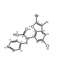 Cc1c(Br)oc2c(N(Cc3ccncc3)C(=O)O)cc(Cl)nc12